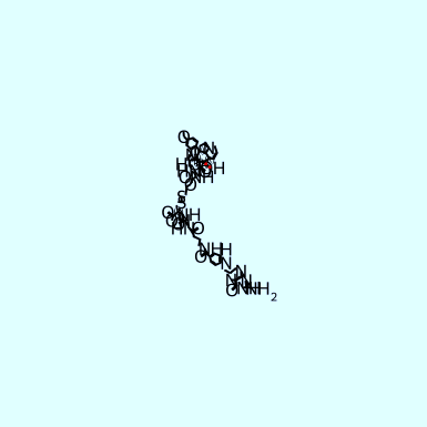 CC[C@]12C=CCN3CC[C@@]4(c5ccc(OC)cc5N(C)[C@H]4[C@@](O)(C(=O)NNC(=O)OCCSSC[C@@H](NC(=O)CNC(=O)CCCNC(=O)c4ccc(NCc5cnc6nc(N)[nH]c(=O)c6n5)cc4)C(=O)O)[C@@H]1O)C32